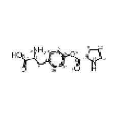 N[C@@H](Cc1ccc(OC(=O)[C@@H]2CCCN2)cc1)C(=O)O